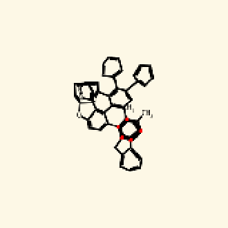 Cc1cc2c(c(-c3ccc4oc5ccccc5c4c3-c3c(-c4ccccc4)cc(-c4ccccc4)c(-c4ccccc4)c3-c3ccnnn3)c1C)Cc1ccccc1-2